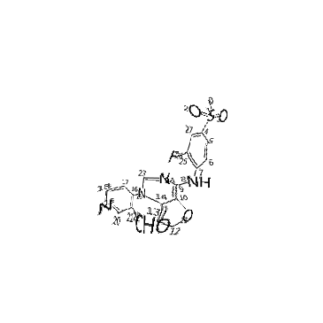 CS(=O)(=O)c1ccc(NC2=C3OCC=C3N(c3ccncc3C=O)C=N2)c(F)c1